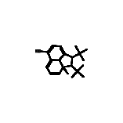 CC(C)(C)C1C2=CC=C(O)C3=CC=CC(C)(C32)C1C(C)(C)C